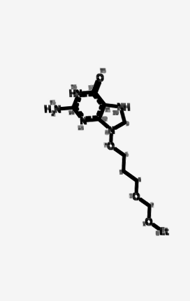 CCOCOCCCON1CNc2c1nc(N)[nH]c2=O